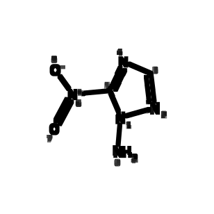 Nn1ncnc1[N+](=O)[O-]